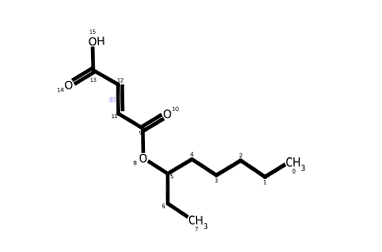 CCCCCC(CC)OC(=O)/C=C/C(=O)O